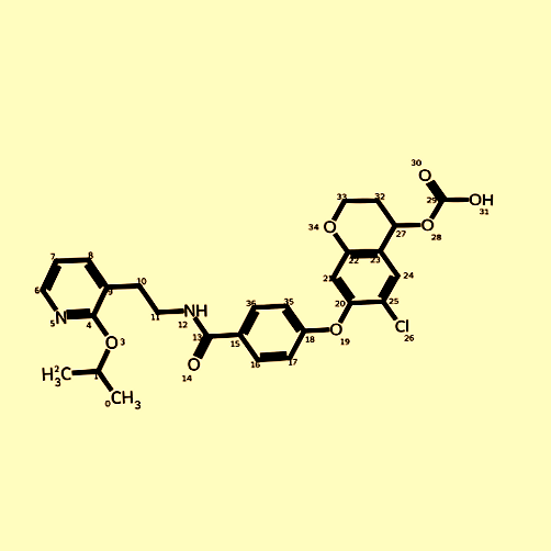 CC(C)Oc1ncccc1CCNC(=O)c1ccc(Oc2cc3c(cc2Cl)C(OC(=O)O)CCO3)cc1